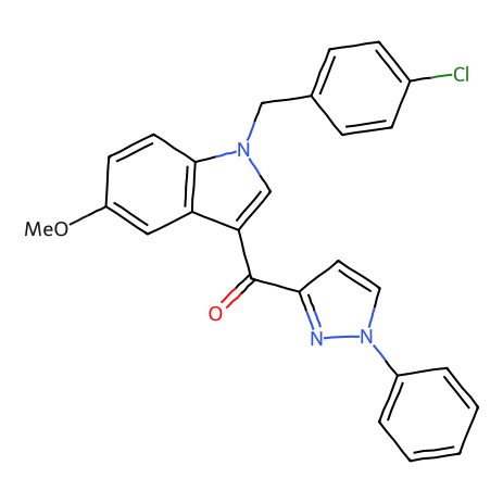 COc1ccc2c(c1)c(C(=O)c1ccn(-c3ccccc3)n1)cn2Cc1ccc(Cl)cc1